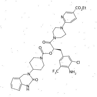 CCOC(=O)c1ccc(N2CCN(C(=O)[C@@H](Cc3cc(Cl)c(N)c(C(F)(F)F)c3)OC(=O)N3CCC(N4Cc5ccccc5NC4=O)CC3)CC2)nc1